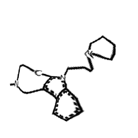 CN1CCc2c(c3ccccc3n2CCN2CCCC2)C1